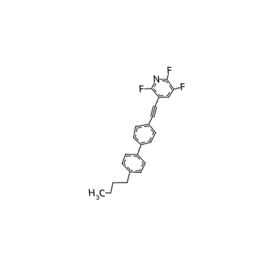 CCCCc1ccc(-c2ccc(C#Cc3cc(F)c(F)nc3F)cc2)cc1